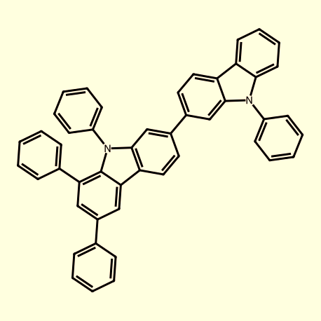 c1ccc(-c2cc(-c3ccccc3)c3c(c2)c2ccc(-c4ccc5c6ccccc6n(-c6ccccc6)c5c4)cc2n3-c2ccccc2)cc1